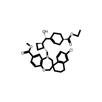 CCOC(=O)[C@H]1CC=C([C@@H](O)[C@@H]2CC[C@H]2CN2CC3(CCCc4cc(Cl)ccc43)COc3ccc(C(=O)OC)cc32)CC1